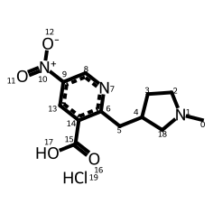 CN1CCC(Cc2ncc([N+](=O)[O-])cc2C(=O)O)C1.Cl